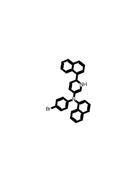 Brc1ccc(N(C2=CNC(c3cccc4ccccc34)C=C2)c2cccc3ccccc23)cc1